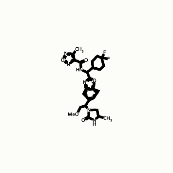 COCC(c1ccc2oc(C(NC(=O)c3nonc3C)C3CCC(F)(F)CC3)nc2c1)N1CC(C)NC1=O